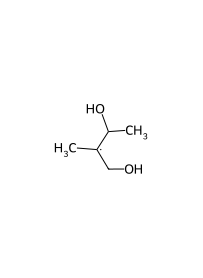 C[C](CO)C(C)O